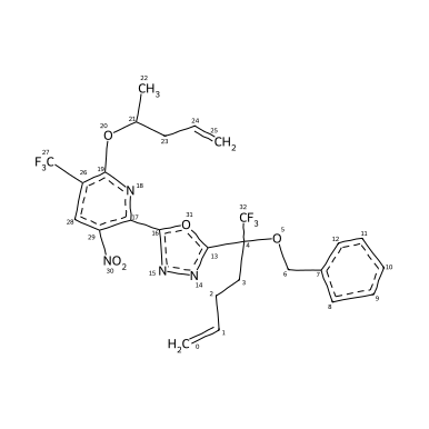 C=CCCC(OCc1ccccc1)(c1nnc(-c2nc(OC(C)CC=C)c(C(F)(F)F)cc2[N+](=O)[O-])o1)C(F)(F)F